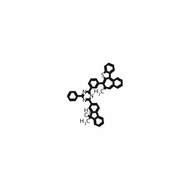 C=C1C=c2ccccc2=c2c(sc3ccccc23)=C1c1cccc(-c2nc(-c3ccccc3)nc(-c3ccc4c(c3)C(C)(C)c3ccccc3-4)n2)c1